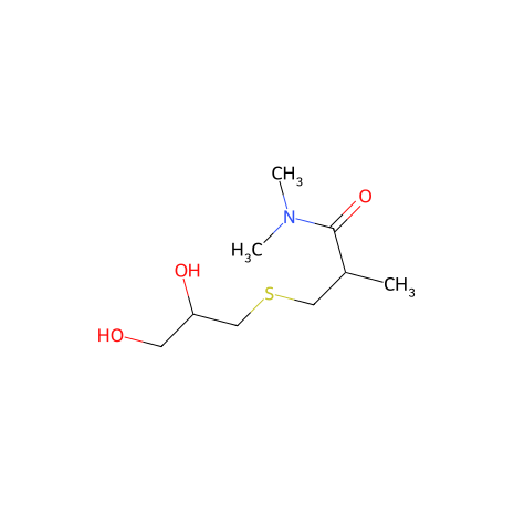 CC(CSCC(O)CO)C(=O)N(C)C